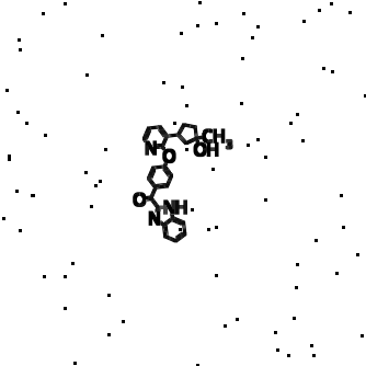 CC1(O)CCC(c2cccnc2Oc2ccc(C(=O)c3nc4ccccc4[nH]3)cc2)C1